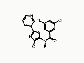 CCN(C(=O)c1cc(Cl)cc(Cl)c1)c1sc(-c2cccnc2)nc1Cl